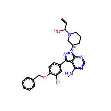 C=CB(O)N1CCC[C@@H](n2nc(-c3ccc(OCc4ccccc4)c(Cl)c3)c3c(N)ncnc32)C1